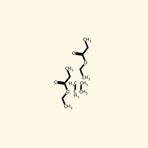 CC.CC.CCOC(=O)CC.CCOC(=O)CC